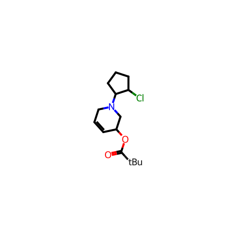 CC(C)(C)C(=O)OC1C=CCN(C2CCCC2Cl)C1